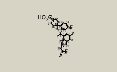 Cc1cc(C(C)OCC2(c3ccc(F)cc3)CCN(C(=O)O)CC2)c2nn(CC(F)F)cc2c1